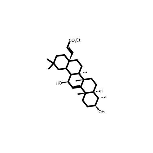 CCOC(=O)/C=C/[C@]12CCC(C)(C)CC1C1[C@H](O)C=C3[C@@]4(C)CC[C@H](O)[C@@H](C)[C@@H]4CC[C@@]3(C)[C@]1(C)CC2